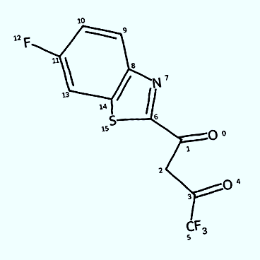 O=C(CC(=O)C(F)(F)F)c1nc2ccc(F)cc2s1